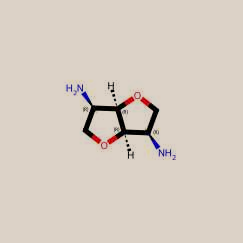 N[C@@H]1CO[C@H]2[C@@H]1OC[C@H]2N